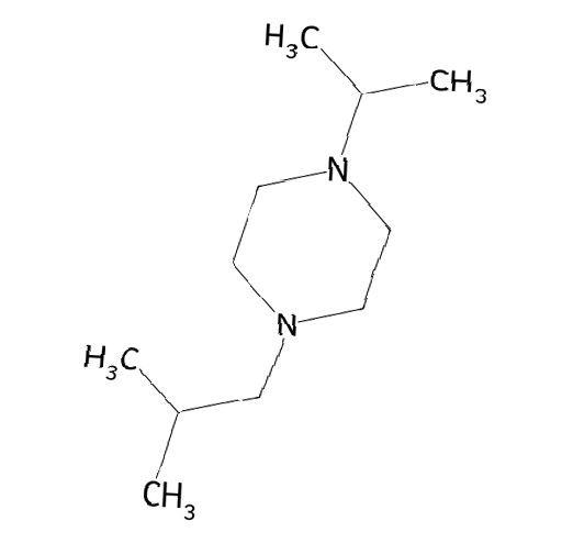 CC(C)CN1CCN(C(C)C)CC1